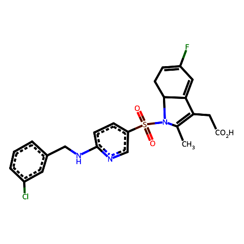 CC1=C(CC(=O)O)C2=CC(F)=CCC2N1S(=O)(=O)c1ccc(NCc2cccc(Cl)c2)nc1